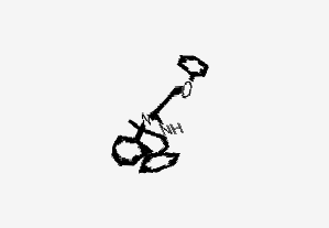 CC1(c2ccccc2)N=C(COc2ccccc2)NC1c1ccccc1